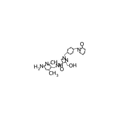 Cc1cc(N)nc(C)c1CNC(=O)c1cn(Cc2ccc(Cn3ccccc3=O)cc2)nc1CO